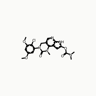 COc1cc(OC)c(Cl)c(N2Cc3cnc4[nH]c(OC(=O)N(C)C)cc4c3N(C)C2=O)c1